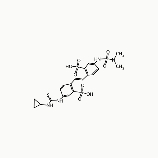 CN(C)S(=O)(=O)Nc1ccc(C=Cc2ccc(NC(=S)NC3CC3)cc2S(=O)(=O)O)c(S(=O)(=O)O)c1